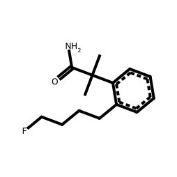 CC(C)(C(N)=O)c1ccccc1CCCCF